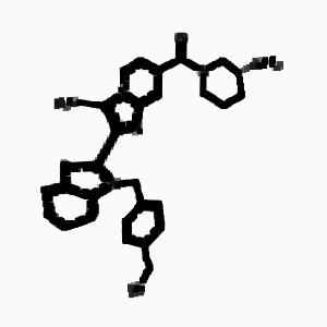 Cc1c(-c2cc3ccccc3n2Cc2ccc(CO)cc2)nc2cc(C(=O)N3CCC[C@@H](N)C3)ccn12